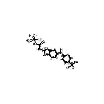 CC(C)(C)OC(=O)Nc1nc2ccc(Nc3ccc(C(F)(F)F)cn3)cc2s1